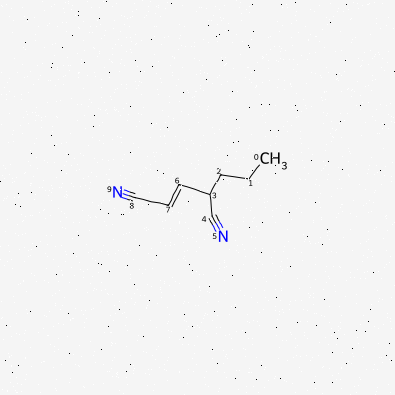 CCCC(C#N)C=CC#N